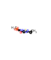 Cc1cccc(-c2cn3c(n2)sc2cc(C(=O)NC4CC(OS(C)(=O)=O)C4)ccc23)c1